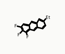 CCc1ccc2cc3c(F)c(F)c(F)cc3cc2c1